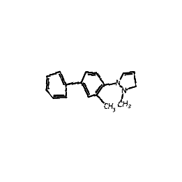 Cc1cc(-c2ccccc2)ccc1N1C=CCN1C